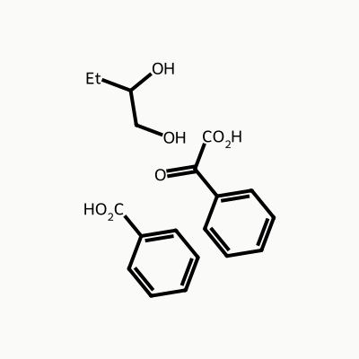 CCC(O)CO.O=C(O)C(=O)c1ccccc1.O=C(O)c1ccccc1